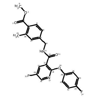 COC(=O)c1ccc(CNC(=O)c2cc(F)cnc2Oc2ccc(F)cc2)cc1C